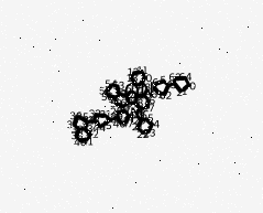 c1ccc(-c2ccc(N(c3ccccc3)c3ccc(N(c4ccccc4)c4ccc(-c5ccc(-c6cccc7ccccc67)cc5)cc4)c4c3oc3c5ccccc5ccc34)cc2)cc1